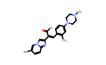 CCC(=O)/C(=C\c1ccc(N2CCN(C)CC2)cc1C)c1cn2cc(C#N)ccc2n1